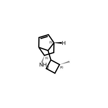 C[C@@H]1CCC1C1C2C=C[C@@H]1C[C@@H]2N